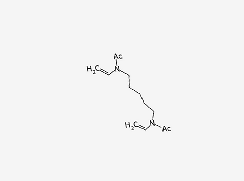 C=CN(CCCCCN(C=C)C(C)=O)C(C)=O